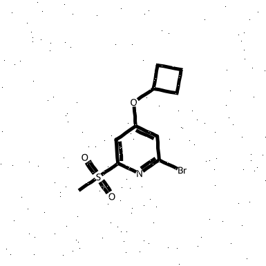 CS(=O)(=O)c1cc(OC2CCC2)cc(Br)n1